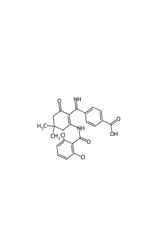 CC1(C)CC(=O)C(C(=N)c2ccc(C(=O)O)cc2)=C(NC(=O)c2c(Cl)cccc2Cl)C1